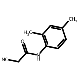 Cc1ccc(NC(=O)CC#N)c(C)c1